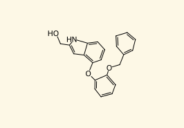 OCc1cc2c(Oc3ccccc3OCc3ccccc3)cccc2[nH]1